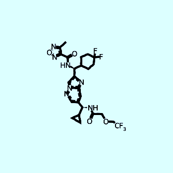 Cc1nonc1C(=O)N[C@H](c1cn2ncc([C@H](NC(=O)COCC(F)(F)F)C3CC3)cc2n1)C1CCC(F)(F)CC1